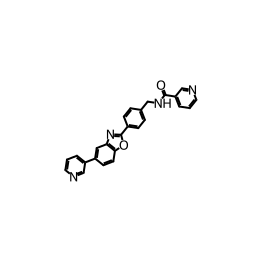 O=C(NCc1ccc(-c2nc3cc(-c4cccnc4)ccc3o2)cc1)c1cccnc1